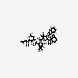 C=CCNC(=O)C(=O)C(CCC)NC(=O)[C@@H]1C2[C@H](CN1C(=O)[C@@H](NC(=O)NC1(CS(=O)(=O)c3ccccn3)CCCCC1)C(C)(C)C)C2(C)C